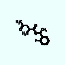 CC(=O)CC(N)C(=O)OC(C)c1ccccc1F